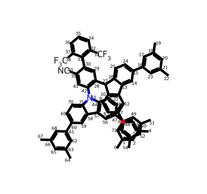 Cc1cc(C)cc(-c2ccc3c(c2)-c2cc(-c4cc(C)cc(C)c4)ccc2C3c2cc(-c3c(C(F)(F)F)cccc3C(F)(F)F)c(C#N)cc2-n2c3ccc(-c4cc(C)cc(C)c4)cc3c3cc(-c4cc(C)cc(C)c4)ccc32)c1